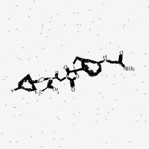 CC(=O)NC(=O)CNc1ccc2c(c1)CC[C@@]21OC(=O)N(CC(=O)N(Cc2ccc(F)cc2)[C@@H](C)C(F)(F)F)C1=O